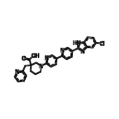 O=C(O)C1(Cc2ccccn2)CCCN(c2ccc(-c3ccc(-c4nc5cc(Cl)ccc5[nH]4)cn3)cn2)C1